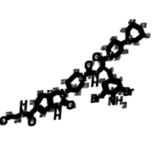 Nc1c(Br)cc(C[C@@H](NC(=O)N2CCC(N3Cc4ccc(C(=O)NCCO)cc4NC3=O)CC2)C(=O)N2CCC(N3CCCCC3)CC2)cc1Br